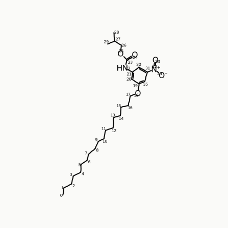 CCCCCCCCCCCCCCCCCCOc1cc(NC(=O)OCC(C)C)cc([N+](=O)[O-])c1